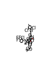 Cc1cc(Cl)c(OCCOc2ncc(C3=C(C(=O)N(Cc4cccc(C(F)(F)F)c4Cl)C4CC4)[C@H]4CN(C(=O)OC(C)(C)C)CC(C3)N4C(=O)OC(C)(C)C)s2)c(Cl)c1